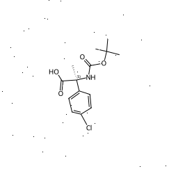 CC(C)(C)OC(=O)N[C@](C)(C(=O)O)c1ccc(Cl)cc1